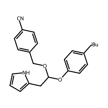 CCC(C)c1ccc(OC(Cc2ccc[nH]2)OCc2ccc(C#N)cc2)cc1